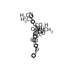 Cc1nc(C(=O)N2Cc3cc4c(cc3C[C@H]2C(=O)NC(Cc2ccc(-c3ccnc(C)c3C)cc2)C(=O)O)OC[C@H](c2ccc(OCCc3ccccc3)cc2)O4)c(C)o1